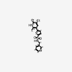 CCc1cc(-c2ccc(S(=O)(=O)NCc3cccnc3)s2)c(C)[nH]c1=O